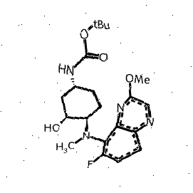 COc1cnc2ccc(F)c(N(C)[C@@H]3CC[C@@H](NC(=O)OC(C)(C)C)C[C@@H]3O)c2n1